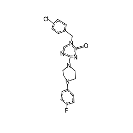 O=c1nc(N2CCN(c3ccc(F)cc3)CC2)ncn1Cc1ccc(Cl)cc1